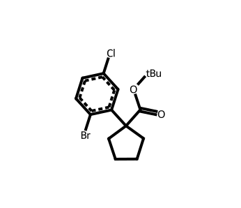 CC(C)(C)OC(=O)C1(c2cc(Cl)ccc2Br)CCCC1